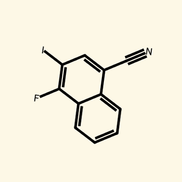 N#Cc1cc(I)c(F)c2ccccc12